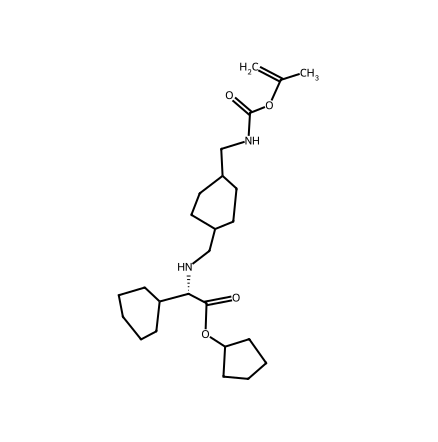 C=C(C)OC(=O)NCC1CCC(CN[C@H](C(=O)OC2CCCC2)C2CCCCC2)CC1